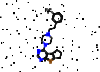 FC(F)(F)c1cccc(CCN2CCN(c3ncnc4sc5c(c34)CCC5)CC2)c1